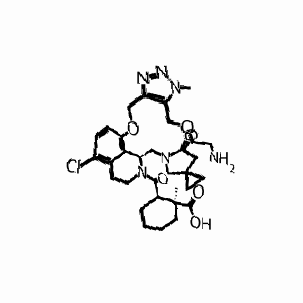 Cn1nnc(COc2ccc(Cl)c3c2[C@@H](CN2CC4(CC4)CC2=O)N(C(=O)[C@@H]2CCCC[C@]2(C)C(=O)O)CC3)c1COCCN